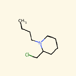 CCCCN1CCCCC1CCl